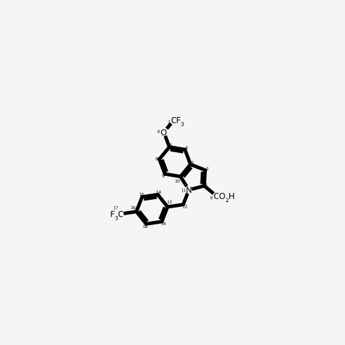 O=C(O)c1cc2cc(OC(F)(F)F)ccc2n1Cc1ccc(C(F)(F)F)cc1